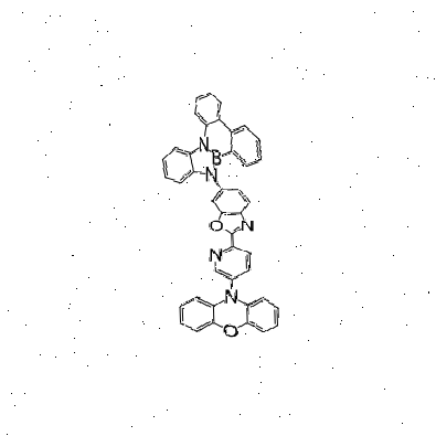 c1ccc2c(c1)Oc1ccccc1N2c1ccc(-c2nc3ccc(N4B5c6ccccc6-c6ccccc6N5c5ccccc54)cc3o2)nc1